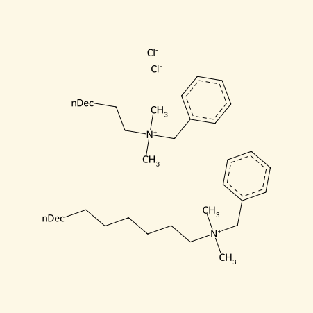 CCCCCCCCCCCCCCCC[N+](C)(C)Cc1ccccc1.CCCCCCCCCCCC[N+](C)(C)Cc1ccccc1.[Cl-].[Cl-]